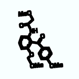 COCOc1cccc(NC(=O)COC)c1C(=O)c1ccc(OC)cc1